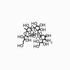 CC1C(O)[C@H](O[C@@H]2OC(CO[C@]3(C(=O)O)C[C@@H](O)[C@@H](N)C([C@H](O)C(O)CO)O3)[C@H](O)C(O)[C@@H]2O)[C@H](CO)O[C@H]1OC(C(O)[C@H](O)CCO)[C@@H](C)O